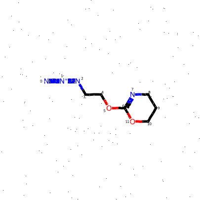 [N-]=[N+]=NCCOC1=NCCCO1